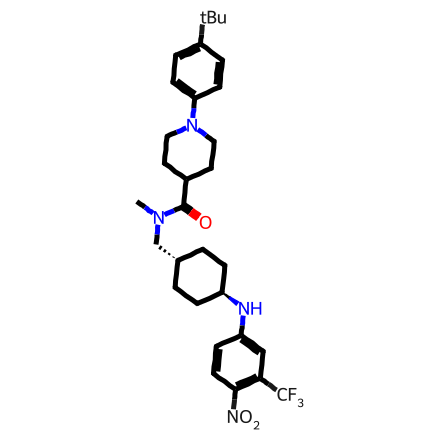 CN(C[C@H]1CC[C@H](Nc2ccc([N+](=O)[O-])c(C(F)(F)F)c2)CC1)C(=O)C1CCN(c2ccc(C(C)(C)C)cc2)CC1